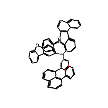 c1ccc(-c2cccc3cccc(-c4cccc(N(c5ccc6oc7ccccc7c6c5)c5cccc6c7c8ccccc8ccc7n(-c7ccccc7)c56)c4)c23)cc1